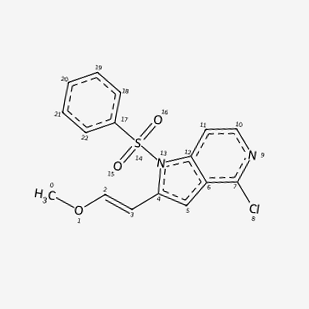 COC=Cc1cc2c(Cl)nccc2n1S(=O)(=O)c1ccccc1